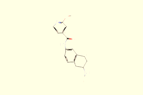 CCOc1cc(C(=O)Nc2ccc3c(c2)CCC(NC(=O)O)C3)ccn1